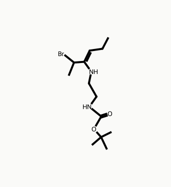 CCC=C(NCCNC(=O)OC(C)(C)C)C(C)Br